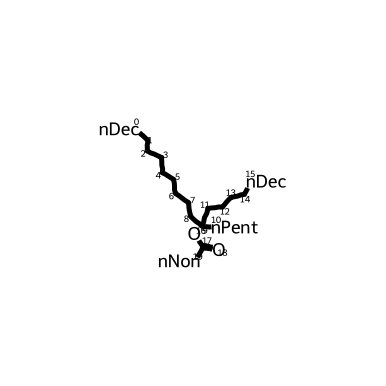 CCCCCCCCCCCCCCCCCCC(CCCCC)(CCCCCCCCCCCCCC)OC(=O)CCCCCCCCC